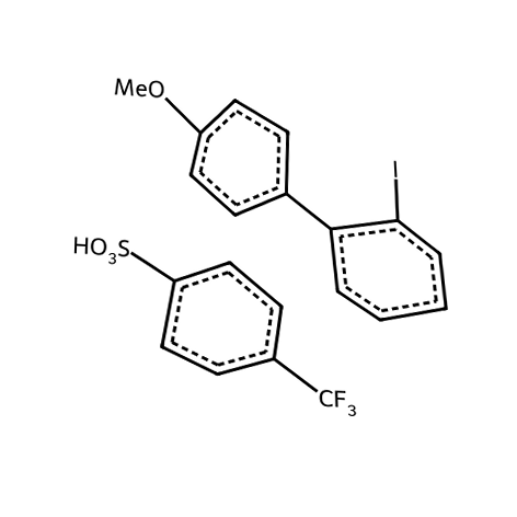 COc1ccc(-c2ccccc2I)cc1.O=S(=O)(O)c1ccc(C(F)(F)F)cc1